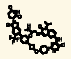 CNC(=O)COc1cc2cc(Nc3nc(N4CCC(OC5CC(N6CCC(c7cc8c(cc7C(F)(F)F)C(=O)N([C@@H]7CCC(=O)NC7=O)C8)CC6)C5)CC4)ncc3Cl)ccc2n(C(C)C)c1=O